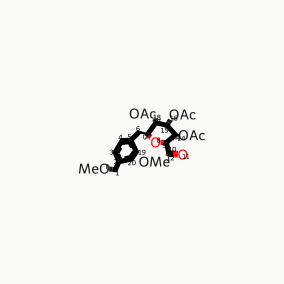 COCc1ccc(C[C@@H]2OC(C(=O)OC)[C@@H](OC(C)=O)C(OC(C)=O)C2OC(C)=O)cc1